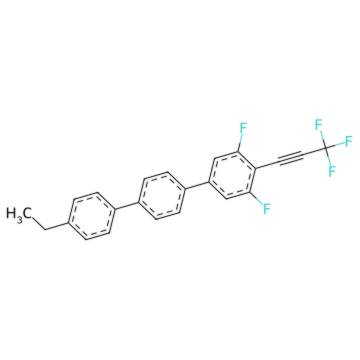 CCc1ccc(-c2ccc(-c3cc(F)c(C#CC(F)(F)F)c(F)c3)cc2)cc1